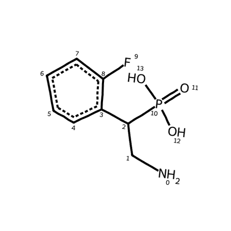 NCC(c1ccccc1F)P(=O)(O)O